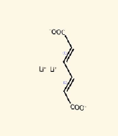 O=C([O-])/C=C/C=C/C(=O)[O-].[Li+].[Li+]